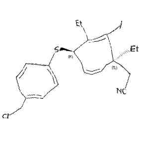 CCC1=C(I)[C@@](CC)(CC#N)C=C[C@H]1Sc1ccc(Cl)cc1